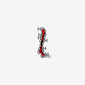 COC(COC(=O)NCCC(=O)NCCNC(=O)CCOCCOCCNC(=O)CCN1C(=O)CC(SCC(N)C(=O)O)C1=O)OC(C)CO